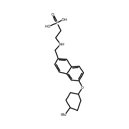 CC(C)(C)C1CCC(Oc2ccc3cc(CNCCP(=O)(O)O)ccc3c2)CC1